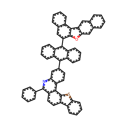 c1ccc(-c2nc3cc(-c4c5ccccc5c(-c5cc6ccccc6c6c5oc5cc7ccccc7cc56)c5ccccc45)ccc3c3c2ccc2c4ccccc4sc23)cc1